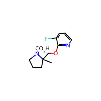 CC1(COc2ncccc2F)CCCN1C(=O)O